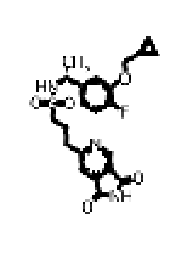 C[C@@H](NS(=O)(=O)CCCc1cc2c(cn1)C(=O)NC2=O)c1ccc(F)c(OCC2CC2)c1